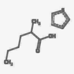 CCCCC(C)C(=O)O.c1ccsc1